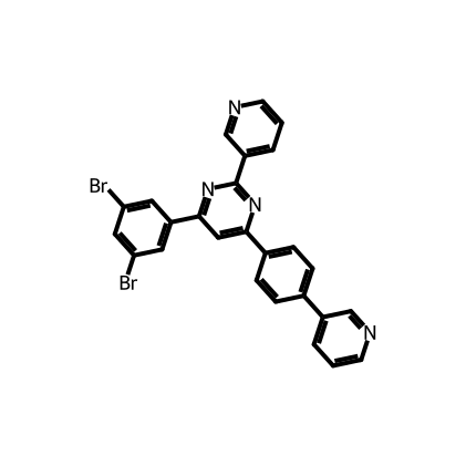 Brc1cc(Br)cc(-c2cc(-c3ccc(-c4cccnc4)cc3)nc(-c3cccnc3)n2)c1